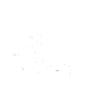 N#Cc1c(N)cc(-c2nccs2)nc1-c1cccc(CO[C@H]2CCOC2)n1